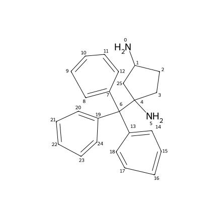 NC1CCC(N)(C(c2ccccc2)(c2ccccc2)c2ccccc2)C1